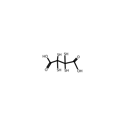 O=C(O)C(S)(S)C(S)(S)C(=O)O